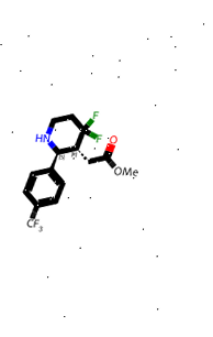 COC(=O)C[C@@H]1[C@@H](c2ccc(C(F)(F)F)cc2)NCCC1(F)F